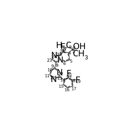 CC(C)(O)c1ccn2c(-c3ccnc(-c4cccc(F)c4F)n3)cnc2c1F